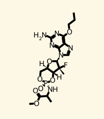 CCCOc1nc(N)nc2c1ncn2[C@@H]1O[C@@H]2COP(=O)(NC(C)C(=O)OC)O[C@H]2[C@@]1(C)F